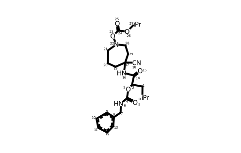 CC(C)CC(OC(=O)NCc1ccccc1)C(=O)NC1(C#N)CCCN(OC(=O)OC(C)C)CC1